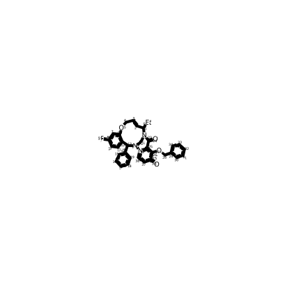 CCC1/C=C/COc2cc(F)ccc2C(c2ccccc2)N2CN1C(=O)c1c(OCc3ccccc3)c(=O)ccn12